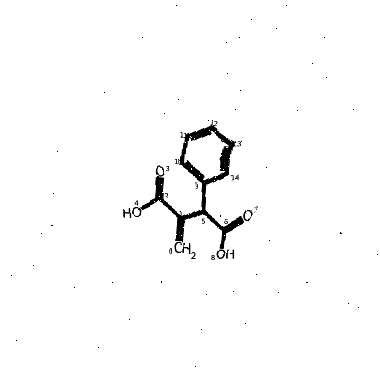 C=C(C(=O)O)C(C(=O)O)c1ccccc1